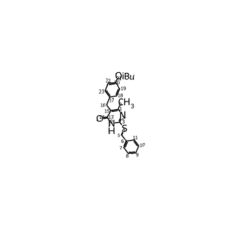 Cc1nc(SCc2ccccc2)[nH]c(=O)c1Cc1ccc(OCC(C)C)cc1